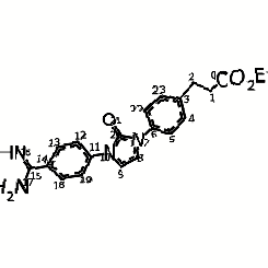 CCOC(=O)CCc1ccc(-n2ccn(-c3ccc(C(=N)N)cc3)c2=O)cc1